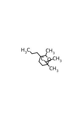 CCCC12CCC(C)(OC1C)C(C)C2